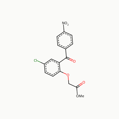 COC(=O)COc1ccc(Cl)cc1C(=O)c1ccc([N+](=O)[O-])cc1